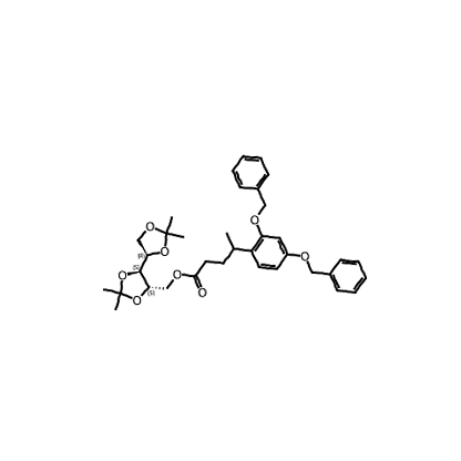 CC(CCC(=O)OC[C@@H]1OC(C)(C)O[C@H]1[C@H]1COC(C)(C)O1)c1ccc(OCc2ccccc2)cc1OCc1ccccc1